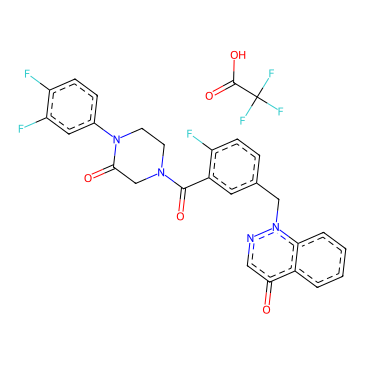 O=C(O)C(F)(F)F.O=C(c1cc(Cn2ncc(=O)c3ccccc32)ccc1F)N1CCN(c2ccc(F)c(F)c2)C(=O)C1